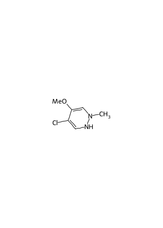 COC1=CN(C)NC=C1Cl